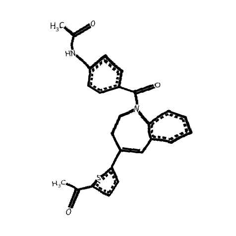 CC(=O)Nc1ccc(C(=O)N2CCC(c3ccc(C(C)=O)s3)=Cc3ccccc32)cc1